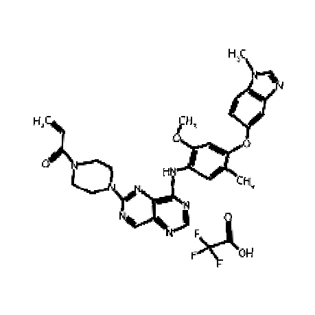 C=CC(=O)N1CCN(c2ncc3ncnc(Nc4cc(C)c(Oc5ccc6c(c5)ncn6C)cc4OC)c3n2)CC1.O=C(O)C(F)(F)F